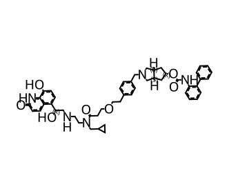 O=C(Nc1ccccc1-c1ccccc1)O[C@@H]1C[C@@H]2CN(Cc3ccc(CCOCCC(=O)N(CCNC[C@H](O)c4ccc(O)c5[nH]c(=O)ccc45)CC4CC4)cc3)C[C@@H]2C1